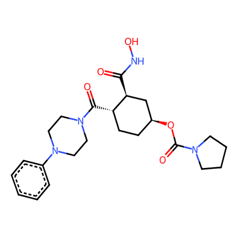 O=C(NO)[C@H]1C[C@@H](OC(=O)N2CCCC2)CC[C@@H]1C(=O)N1CCN(c2ccccc2)CC1